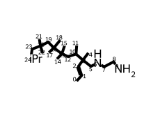 CC=CC(C)(CNCCN)C(C)CC(C)(C)C(C)(C)CC(C)(C)CC(C)C